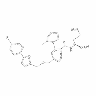 CSCC[C@H](NC(=O)c1ccc(COCc2ccc(-c3ccc(F)cc3)o2)cc1-c1ccccc1C)C(=O)O